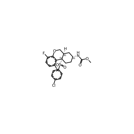 COC(=O)N[C@@H]1CC[C@@]2(S(=O)(=O)c3ccc(Cl)cc3)c3c(F)ccc(F)c3OC[C@H]2C1